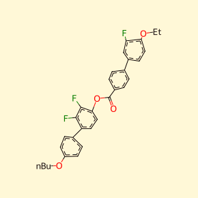 CCCCOc1ccc(-c2ccc(OC(=O)c3ccc(-c4ccc(OCC)c(F)c4)cc3)c(F)c2F)cc1